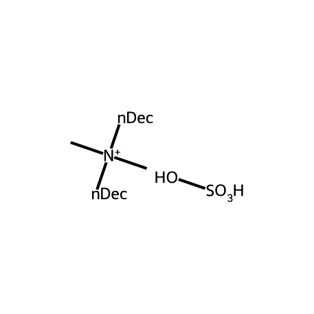 CCCCCCCCCC[N+](C)(C)CCCCCCCCCC.O=S(=O)(O)O